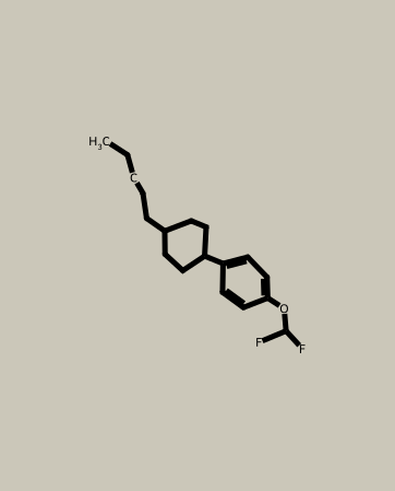 CCCCCC1CCC(c2ccc(OC(F)F)cc2)CC1